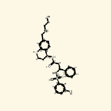 CC(C)CCNCc1ccc2c(c1)OCCC2NC(=O)CC(NS(=O)(=O)c1cccc(Cl)c1)c1ccccc1